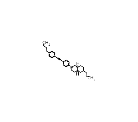 C=CCCc1ccc(C#Cc2ccc([C@@H]3CC[C@@H]4CC(CCC)CC[C@@H]4C3)cc2)cc1